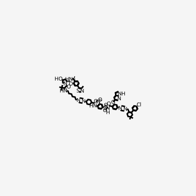 Cc1ncsc1-c1ccc([C@H](C)NC(=O)[C@@H]2C[C@@H](O)CN2C(=O)[C@@H](NCCCCCCN2CCN(C3CCC(CNc4ccc(S(=O)(=O)NC(=O)c5ccc(N6CCN(CC7=C(c8ccc(Cl)cc8)CC(C)(C)CC7)CC6)cc5Oc5cnc6[nH]ccc6c5)cc4[N+](=O)[O-])CC3)CC2)C(C)(C)C)cc1